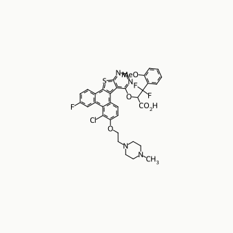 COc1ccccc1C(F)(F)C(Oc1ncnc2sc3c4ccc(F)cc4c4c(Cl)c(OCCN5CCN(C)CC5)ccc4c3c12)C(=O)O